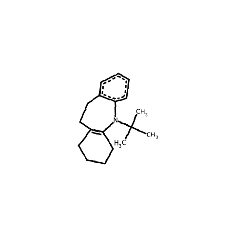 CC(C)(C)N1C2=C(CCCC2)CCc2ccccc21